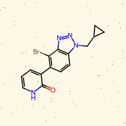 O=c1[nH]cccc1-c1ccc2c(nnn2CC2CC2)c1Br